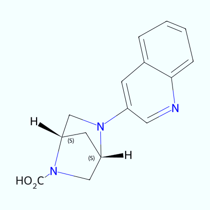 O=C(O)N1C[C@@H]2C[C@H]1CN2c1cnc2ccccc2c1